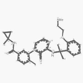 CNCCOc1ccccc1C(C)(C)Nc1nccn(-c2cc(C(=O)NC3(C)CC3)ccc2C)c1=O